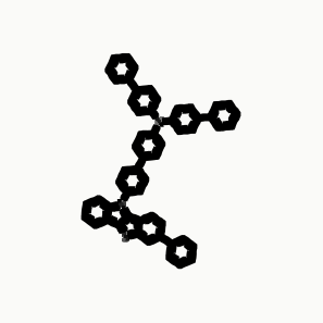 c1ccc(-c2ccc(N(c3ccc(-c4ccccc4)cc3)c3ccc(-c4ccc(-n5c6ccccc6c6sc7cc(-c8ccccc8)ccc7c65)cc4)cc3)cc2)cc1